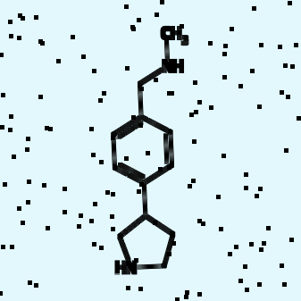 CNCc1ccc(C2CCNC2)cc1